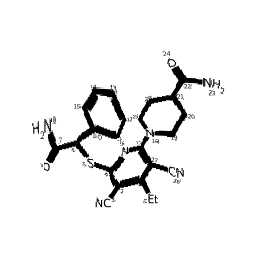 CCc1c(C#N)c(SC(C(N)=O)c2ccccc2)nc(N2CCC(C(N)=O)CC2)c1C#N